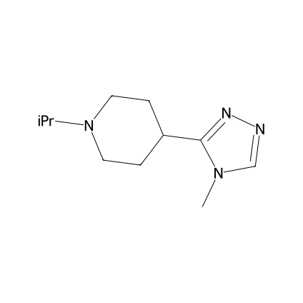 CC(C)N1CCC(c2nncn2C)CC1